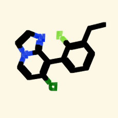 CCc1cccc(-c2c(Cl)ccn3ccnc23)c1F